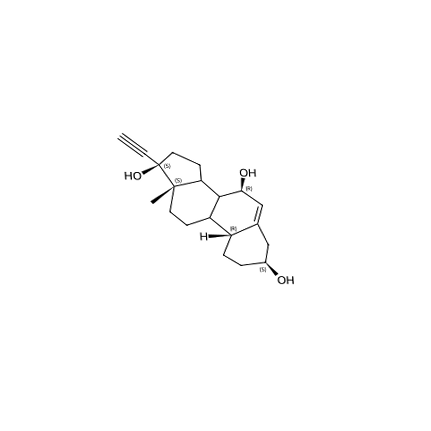 C#C[C@]1(O)CCC2C3C(CC[C@@]21C)[C@H]1CC[C@H](O)CC1=C[C@@H]3O